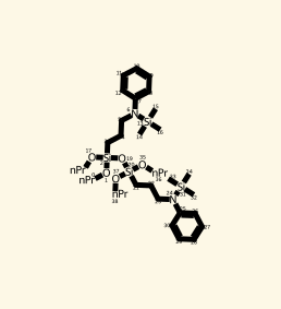 CCCO[Si](CCCN(c1ccccc1)[Si](C)(C)C)(OCCC)O[Si](CCCN(c1ccccc1)[Si](C)(C)C)(OCCC)OCCC